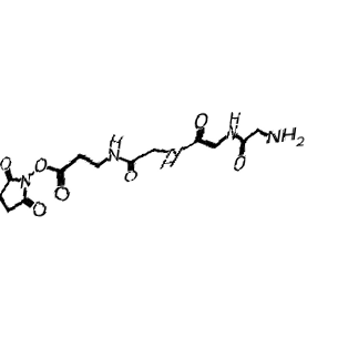 NCC(=O)NCC(=O)NCC(=O)NCCC(=O)ON1C(=O)CCC1=O